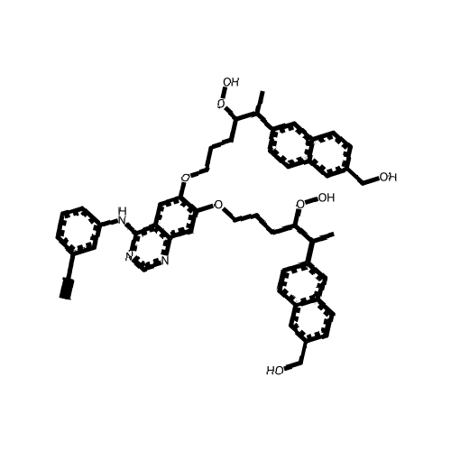 C#Cc1cccc(Nc2ncnc3cc(OCCCC(OO)C(C)c4ccc5cc(CO)ccc5c4)c(OCCCC(OO)C(C)c4ccc5cc(CO)ccc5c4)cc23)c1